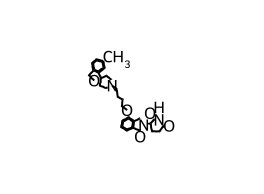 Cc1ccc2c(c1)C1(CCN(CCCCOc3cccc4c3CN(C3CCC(=O)NC3=O)C4=O)CC1)OC2